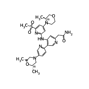 C[C@@H]1CN(c2ccc(-c3cnc(CC(N)=O)cc3Nc3cc(N4CCOC[C@@H]4C)cc(S(C)(=O)=O)n3)nc2)C[C@H](C)O1